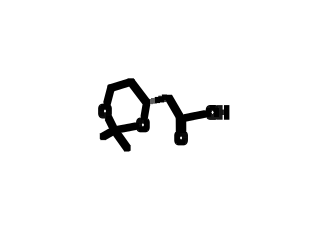 CC1(C)OCC[C@H](CC(=O)O)O1